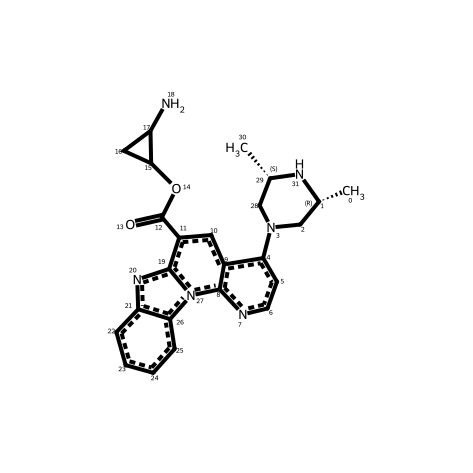 C[C@@H]1CN(c2ccnc3c2cc(C(=O)OC2CC2N)c2nc4ccccc4n23)C[C@H](C)N1